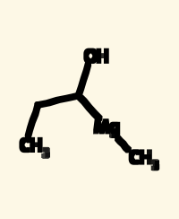 CC[CH](O)[Mg][CH3]